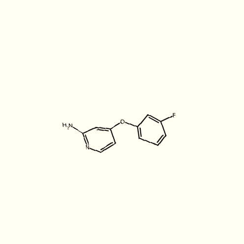 Nc1cc(Oc2cccc(F)c2)ccn1